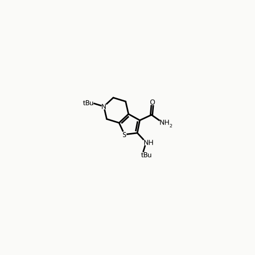 CC(C)(C)Nc1sc2c(c1C(N)=O)CCN(C(C)(C)C)C2